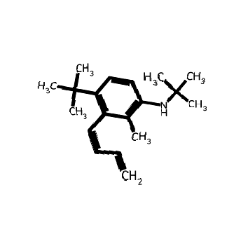 C=C/C=C\c1c(C(C)(C)C)ccc(NC(C)(C)C)c1C